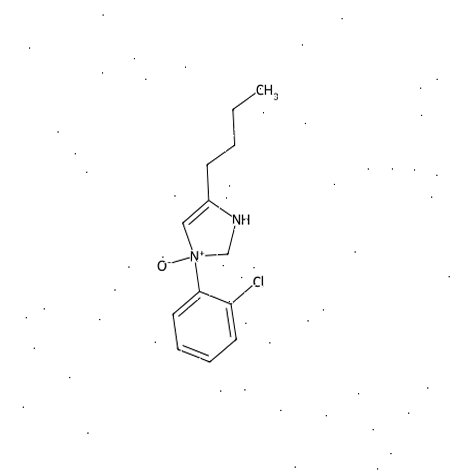 CCCCC1=C[N+]([O-])(c2ccccc2Cl)CN1